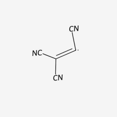 N#C[C]=C(C#N)C#N